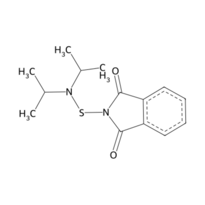 CC(C)N(SN1C(=O)c2ccccc2C1=O)C(C)C